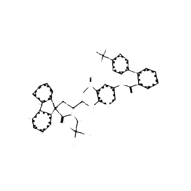 CN(C)c1cc(NC(=O)c2ccccc2-c2ccc(C(F)(F)F)cc2)cnc1OCCCC1(C(=O)NCC(F)(F)F)c2ccccc2-c2ccccc21